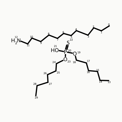 CCCCCCCCCCCCN.CCCCCCOP(O)(=S)OCCCCCC